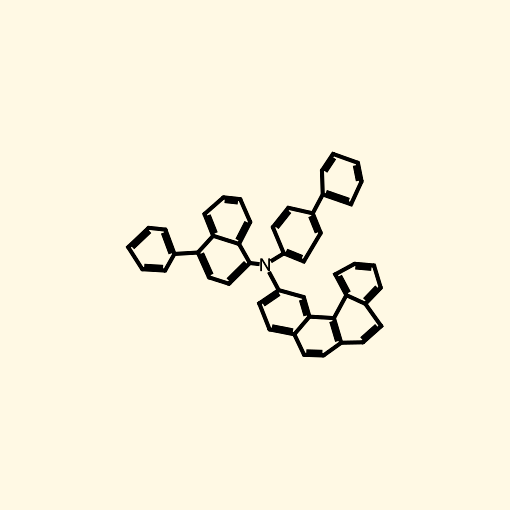 c1ccc(-c2ccc(N(c3ccc4ccc5ccc6ccccc6c5c4c3)c3ccc(-c4ccccc4)c4ccccc34)cc2)cc1